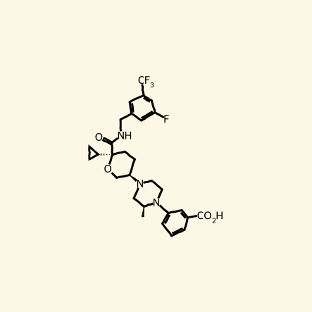 C[C@H]1CN([C@@H]2CC[C@@](C(=O)NCc3cc(F)cc(C(F)(F)F)c3)(C3CC3)OC2)CCN1c1cccc(C(=O)O)c1